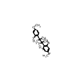 COc1ccc(C(C)(C)C(C)(C)c2ccc(OC)cc2F)c(F)c1